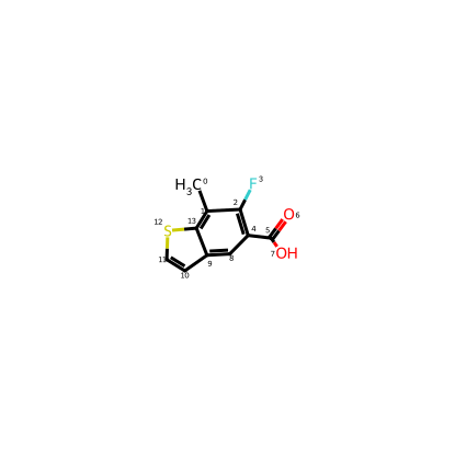 Cc1c(F)c(C(=O)O)cc2ccsc12